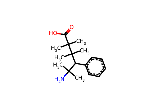 CC(C)(N)C(c1ccccc1)C(C)(C)C(C)(C)C(=O)O